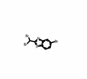 Brc1ccc2sc(C(Br)Br)nc2c1